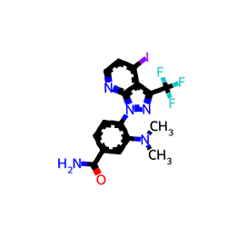 CN(C)c1cc(C(N)=O)ccc1-n1nc(C(F)(F)F)c2c(I)ccnc21